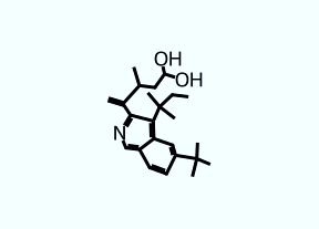 C=C(c1ncc2ccc(C(C)(C)C)cc2c1C(C)(C)CC)C(C)CC(O)O